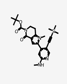 CNc1cc(-c2cc3c(n2C)CCN(C(=O)OC(C)(C)C)C3=O)c(C#C[Si](C)(C)C)cn1